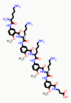 COc1ccc(NC(=O)[C@H](CCCCN)NC(=O)c2cc(NC(=O)C(CCCCN)NC(=O)c3cc(NC(=O)[C@H](CCCCN)NC(=O)c4cc(NC(=O)[C@@H](N)CCCCN)ccc4OC)ccc3OC)ccc2OC)cc1C(=O)NCCC(=O)O